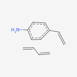 C=CC=C.C=Cc1ccc(N)cc1